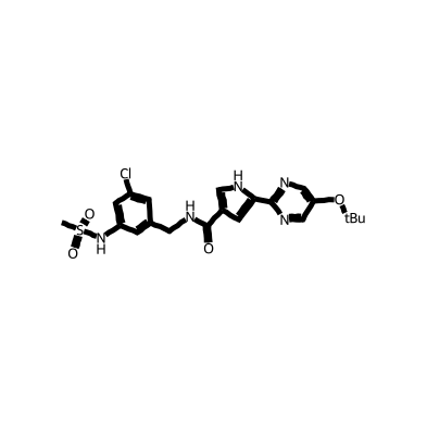 CC(C)(C)Oc1cnc(-c2cc(C(=O)NCc3cc(Cl)cc(NS(C)(=O)=O)c3)c[nH]2)nc1